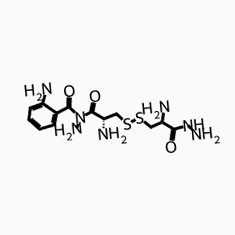 NNC(=O)C(N)CSSC[C@H](N)C(=O)N(N)C(=O)c1ccccc1N